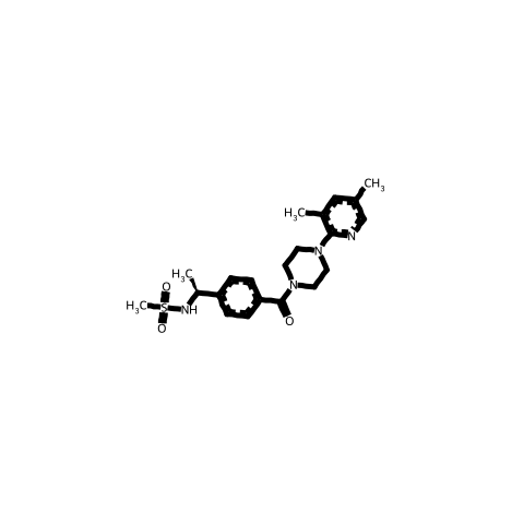 Cc1cnc(N2CCN(C(=O)c3ccc([C@H](C)NS(C)(=O)=O)cc3)CC2)c(C)c1